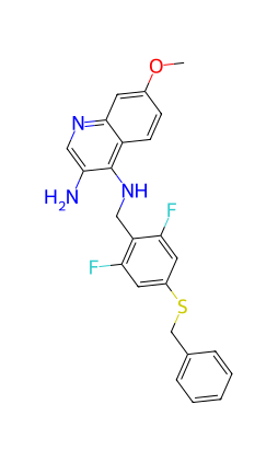 COc1ccc2c(NCc3c(F)cc(SCc4ccccc4)cc3F)c(N)cnc2c1